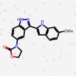 COc1ccc2cc(-c3n[nH]c4ccc(N5CCOC5=O)cc34)[nH]c2c1